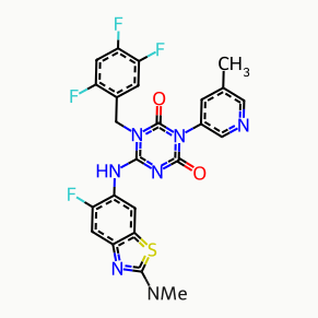 CNc1nc2cc(F)c(Nc3nc(=O)n(-c4cncc(C)c4)c(=O)n3Cc3cc(F)c(F)cc3F)cc2s1